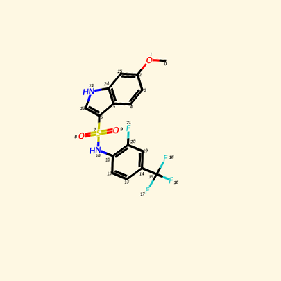 COc1ccc2c(S(=O)(=O)Nc3ccc(C(F)(F)F)cc3F)c[nH]c2c1